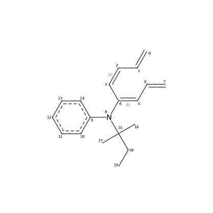 C=C/C=C\C(=C/C=C)N(c1ccccc1)C(C)(C)CC